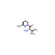 CC1=CCCN(C(=O)[C@@H](N)C(C)C)C1